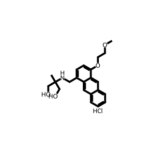 COCCOc1ccc(CNC(C)(CO)CO)c2cc3ccccc3cc12.Cl